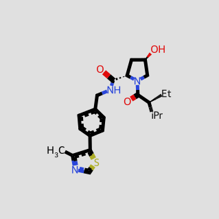 CC[C@H](C(=O)N1C[C@H](O)C[C@H]1C(=O)NCc1ccc(-c2scnc2C)cc1)C(C)C